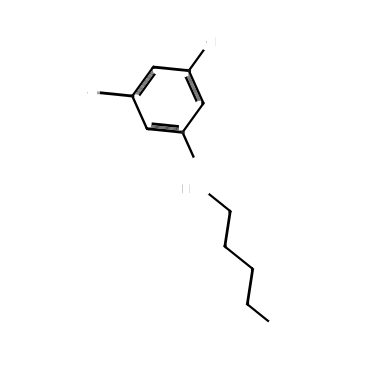 CCCCCCl.Clc1cc(Cl)cc(Cl)c1